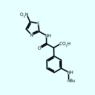 CCCCNc1cccc(C(C(=O)O)C(=O)Nc2ncc([N+](=O)[O-])s2)c1